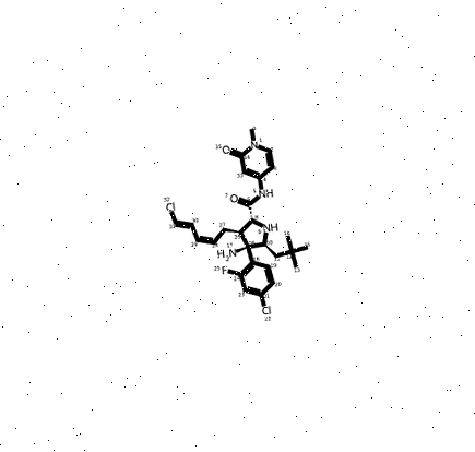 Cn1ccc(NC(=O)[C@@H]2N[C@@H](CC(C)(C)C)[C@](N)(c3ccc(Cl)cc3F)[C@H]2C/C=C\C=C\Cl)cc1=O